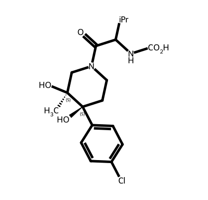 CC(C)C(NC(=O)O)C(=O)N1CC[C@](O)(c2ccc(Cl)cc2)[C@@](C)(O)C1